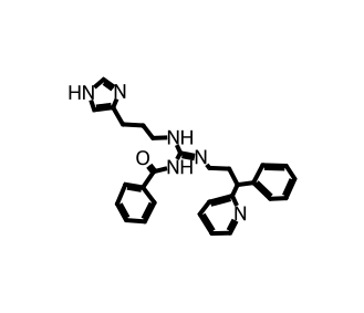 O=C(NC(=NCCC(c1ccccc1)c1ccccn1)NCCCc1c[nH]cn1)c1ccccc1